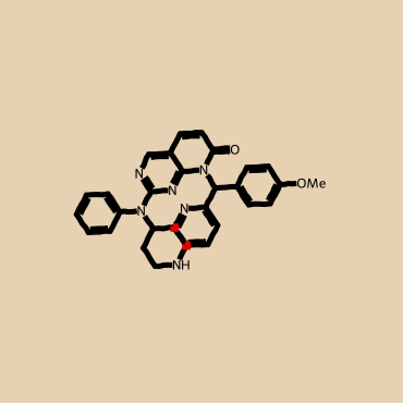 COc1ccc(C(c2ccccn2)n2c(=O)ccc3cnc(N(c4ccccc4)C4CCNCC4)nc32)cc1